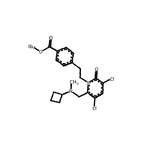 CN(Cc1c(Cl)cc(Cl)c(=O)n1CCc1ccc(C(=O)OC(C)(C)C)cc1)C1CCC1